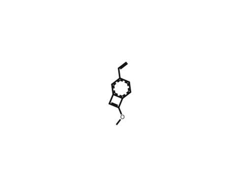 C=Cc1ccc2c(c1)C=C2OC